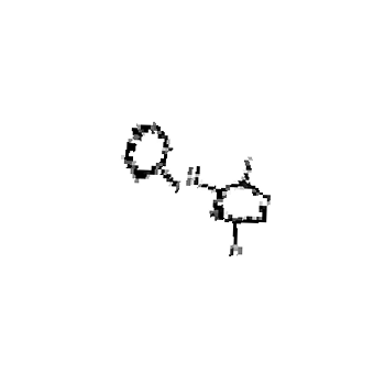 Clc1ncc(Br)cc1NSc1ccccc1